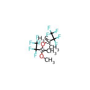 CO[Si](C)(O[Si](C)(C)C(F)(F)C(F)(F)F)C(F)(F)C(F)(F)F